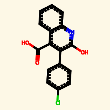 O=C(O)c1c(-c2ccc(Cl)cc2)c(O)nc2ccccc12